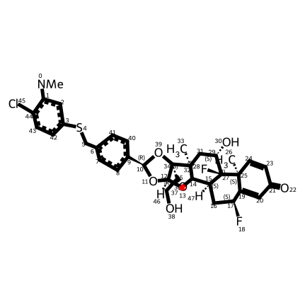 CNc1cc(SCc2ccc([C@@H]3O[C@@H]4CC5[C@@H]6C[C@H](F)C7=CC(=O)C=C[C@]7(C)[C@@]6(F)[C@@H](O)C[C@]5(C)[C@]4(C(=O)CO)O3)cc2)ccc1Cl